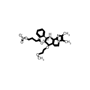 COCCO[C@@H]1c2ccn3c(C)c(C)nc3c2N[C@H](c2ccccc2)[C@H]1OC(=O)CCCO[N+](=O)[O-]